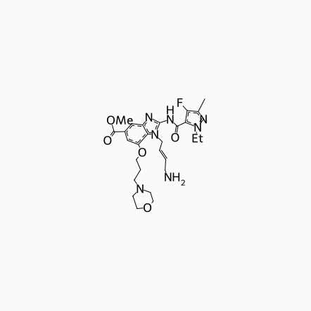 CCn1nc(C)c(F)c1C(=O)Nc1nc2cc(C(=O)OC)cc(OCCCN3CCOCC3)c2n1CC=CCN